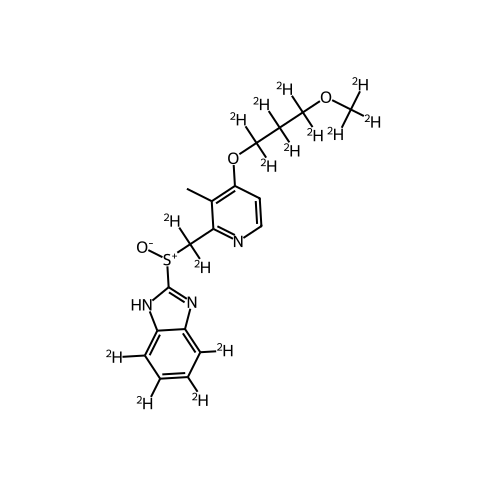 [2H]c1c([2H])c([2H])c2[nH]c([S+]([O-])C([2H])([2H])c3nccc(OC([2H])([2H])C([2H])([2H])C([2H])([2H])OC([2H])([2H])[2H])c3C)nc2c1[2H]